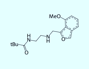 COc1cccc2coc(CNCCNC(=O)C(C)(C)C)c12